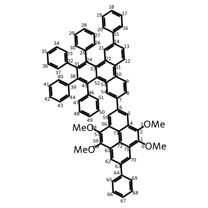 COc1c(OC)c2cc(-c3ccc4c5ccc(-c6ccccc6)cc5c5c(-c6ccccc6)c(-c6ccccc6)c(-c6ccccc6)c(-c6ccccc6)c5c4c3)cc3c(OC)c(OC)c4cc(-c5ccccc5)cc1c4c23